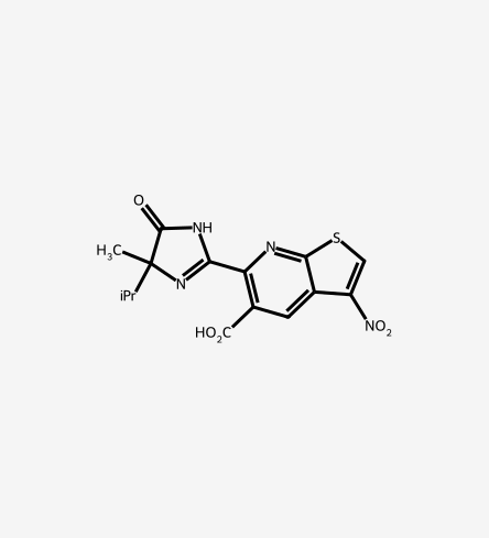 CC(C)C1(C)N=C(c2nc3scc([N+](=O)[O-])c3cc2C(=O)O)NC1=O